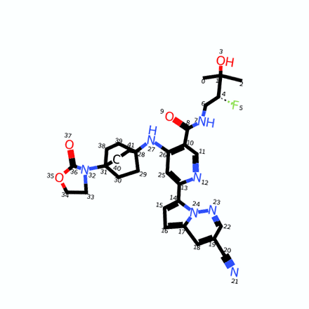 CC(C)(O)[C@H](F)CNC(=O)c1cnc(-c2ccc3cc(C#N)cnn23)cc1NC12CCC(N3CCOC3=O)(CC1)CC2